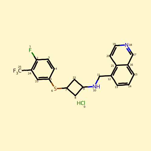 Cl.Fc1ccc(SC2CC(NCc3cccc4cnccc34)C2)cc1C(F)(F)F